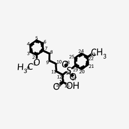 COc1ccccc1CCCCC(C(=O)O)S(=O)(=O)c1ccc(C)cc1